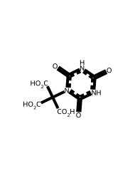 O=C(O)C(C(=O)O)(C(=O)O)n1c(=O)[nH]c(=O)[nH]c1=O